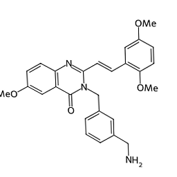 COc1ccc(OC)c(C=Cc2nc3ccc(OC)cc3c(=O)n2Cc2cccc(CN)c2)c1